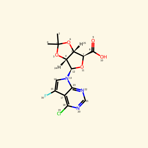 CC1(C)O[C@@H]2[C@H](O1)[C@@H](C(=O)O)O[C@H]2n1cc(F)c2c(Cl)ncnc21